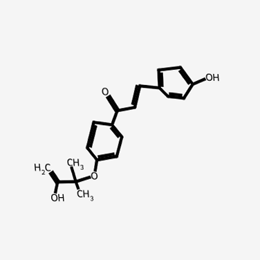 C=C(O)C(C)(C)Oc1ccc(C(=O)/C=C/c2ccc(O)cc2)cc1